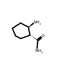 NC(=O)[C@@H]1CCCC[C@H]1N